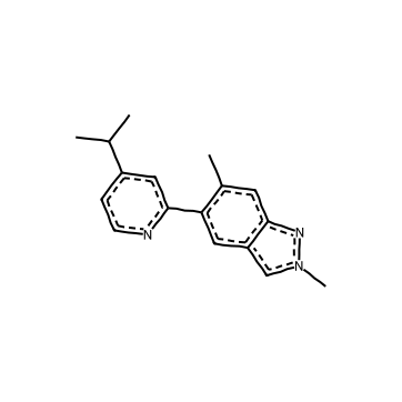 Cc1cc2nn(C)cc2cc1-c1cc(C(C)C)ccn1